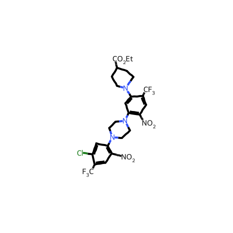 CCOC(=O)C1CCN(c2cc(N3CCN(c4cc(Cl)c(C(F)(F)F)cc4[N+](=O)[O-])CC3)c([N+](=O)[O-])cc2C(F)(F)F)CC1